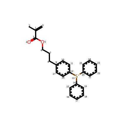 C=C(C)C(=O)OCCCc1ccc([S+](c2ccccc2)c2ccccc2)cc1